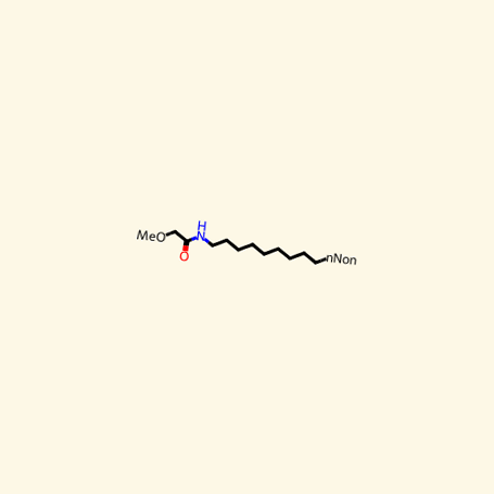 [CH2]OCC(=O)NCCCCCCCCCCCCCCCCCC